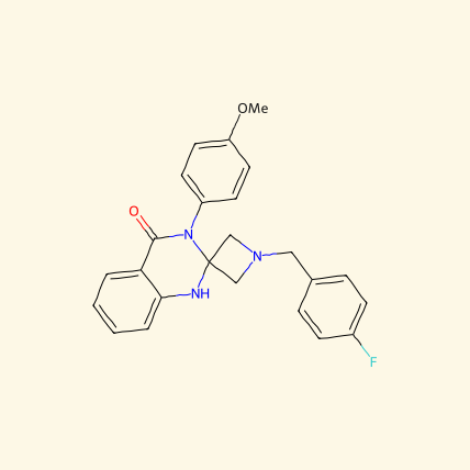 COc1ccc(N2C(=O)c3ccccc3NC23CN(Cc2ccc(F)cc2)C3)cc1